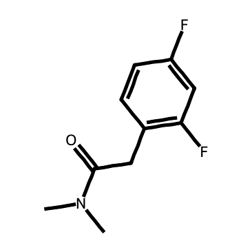 CN(C)C(=O)Cc1ccc(F)cc1F